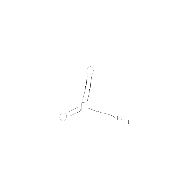 O=[P](=O)[Pd]